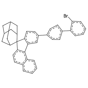 Brc1ccccc1-c1ccc(-c2ccc3c(c2)-c2c(ccc4ccccc24)C32C3CC4CC(C3)CC2C4)cc1